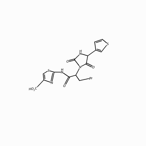 CC(C)CC(C(=O)Nc1nc(C(=O)O)cs1)N1C(=O)NC(c2ccsc2)C1=O